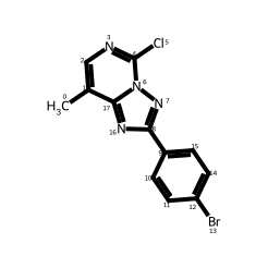 Cc1cnc(Cl)n2nc(-c3ccc(Br)cc3)nc12